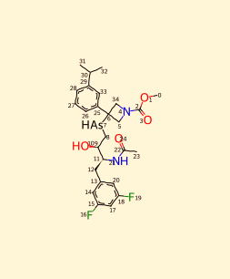 COC(=O)N1CC([AsH]C[C@H](O)[C@H](Cc2cc(F)cc(F)c2)NC(C)=O)(c2cccc(C(C)C)c2)C1